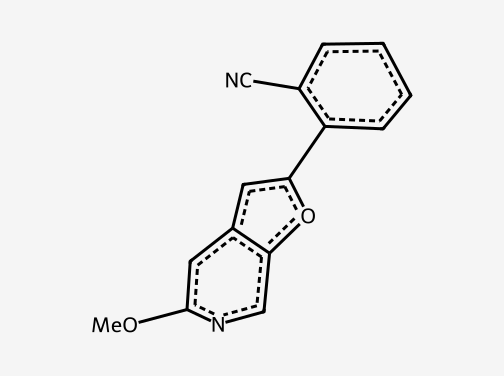 COc1cc2cc(-c3ccccc3C#N)oc2cn1